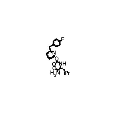 CC(C)C[C@H](NC(=O)Oc1cccc(Cc2ccc(F)cc2)n1)C(N)=O